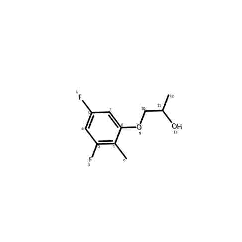 Cc1c(F)cc(F)cc1OCC(C)O